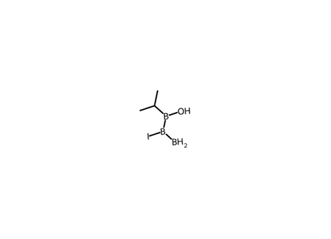 BB(I)B(O)C(C)C